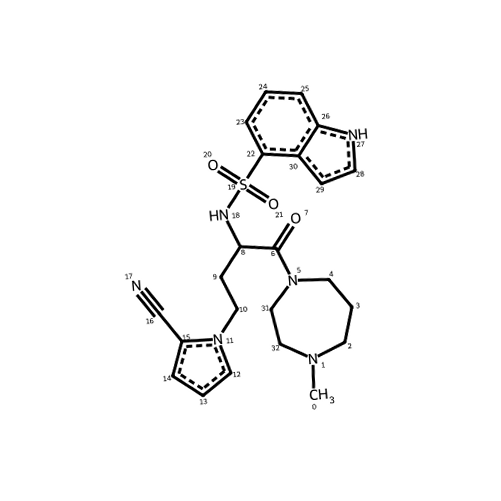 CN1CCCN(C(=O)C(CCn2cccc2C#N)NS(=O)(=O)c2cccc3[nH]ccc23)CC1